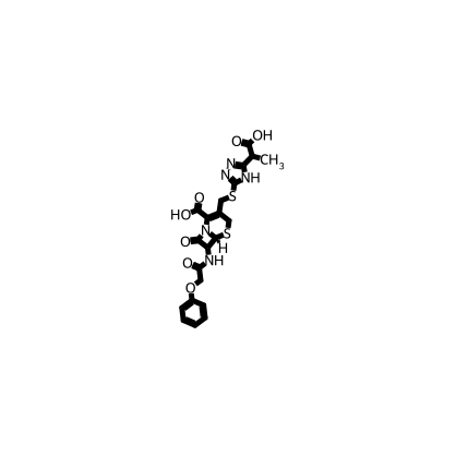 CC(C(=O)O)c1nnc(SCC2=C(C(=O)O)N3C(=O)C(NC(=O)COc4ccccc4)[C@H]3SC2)[nH]1